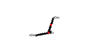 C[CH]c1nc(CCCCCCCCCCCCCCCCCCCCCCC)nc(CCCCCCCCCCCCCCCCCCCCCCC)n1